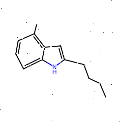 CCCCc1cc2c(C)cccc2[nH]1